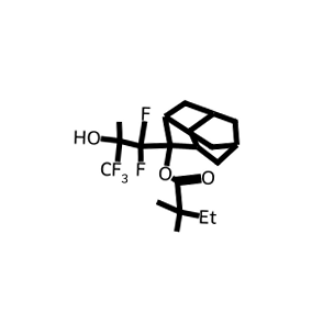 CCC(C)(C)C(=O)OC1(C(F)(F)C(C)(O)C(F)(F)F)C2CC3CC(C2)CC1C3